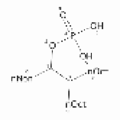 CCCCCCCCCC(OP(=O)(O)O)C(CCCCCCCC)CCCCCCCC